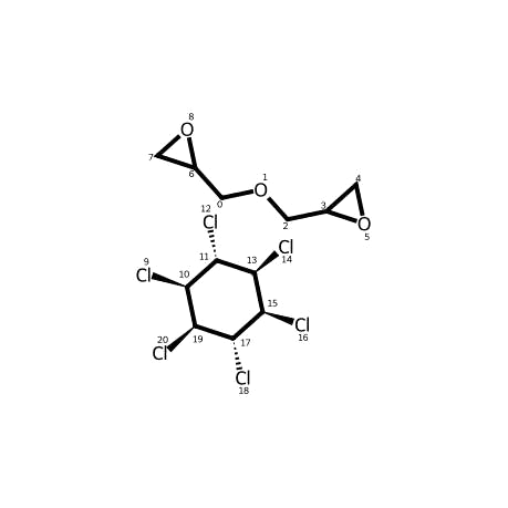 C(OCC1CO1)C1CO1.Cl[C@H]1[C@H](Cl)[C@@H](Cl)[C@@H](Cl)[C@H](Cl)[C@H]1Cl